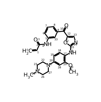 C=CC(=O)Nc1cccc(C(=O)c2cnc(Nc3ccc(N4CCN(C)CC4)cc3OC)o2)c1